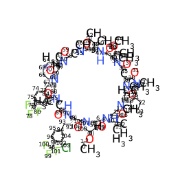 CCO[C@@H]1C[C@H]2C(=O)NC3(CC(C)(C)C3)C(=O)N(C)[C@@H](C3CCCC3)C(=O)N(C)[C@H](C(=O)N(C)C)CC(=O)N(C)[C@@H]([C@@H](C)OC)C(=O)N[C@@H]([C@@H](C)CC)C(=O)N(C)CC(=O)N(C)[C@H]3C/C=C\CCN(C3=O)[C@@H](Cc3ccc(C(F)(F)F)cc3)C(=O)N(C)CC(=O)N[C@@H](CCc3ccc(C(F)(F)F)c(Cl)c3)C(=O)N2C1